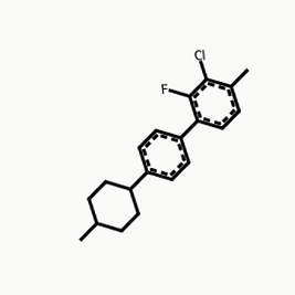 Cc1ccc(-c2ccc(C3CCC(C)CC3)cc2)c(F)c1Cl